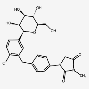 CN1C(=O)CN(c2ccc(Cc3cc([C@@H]4O[C@H](CO)[C@@H](O)[C@H](O)[C@@H]4O)ccc3Cl)cc2)C1=O